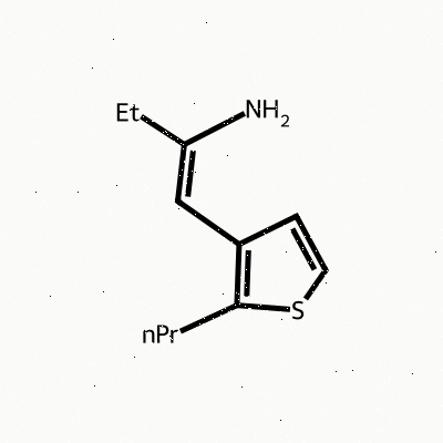 CCCc1sccc1/C=C(\N)CC